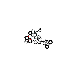 COc1ccc(COC(/C=C\C[C@H](C)O[Si](c2ccccc2)(c2ccccc2)C(C)(C)C)[C@H]2OC(C)(C)O[C@H]2CCC(Sc2ccccc2)c2c(C)ccc(C)c2C(=O)OCC[Si](C)(C)C)cc1